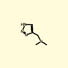 CN(C)Cc1c[nH]nn1